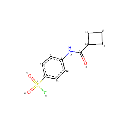 O=C(Nc1ccc(S(=O)(=O)Cl)cc1)C1CCC1